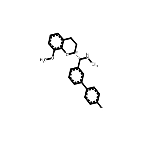 CNC(c1cccc(-c2ccc(F)cc2)c1)[C@H]1CCc2cccc(OC)c2O1